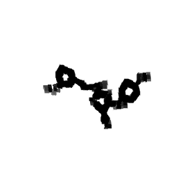 Cc1cccc(CCNc2ncc(C#N)c(N[C@H]3CC[C@@H](O)CC3)n2)c1